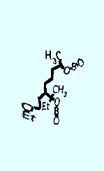 CCOCCC(CCCC(C)OB=O)C(C)(CC)OB=O